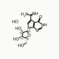 Cl.N=C(N)c1cn([C@@H]2O[C@H](CO)[C@@H](O)[C@H]2O)c2nc[nH]c(=O)c12